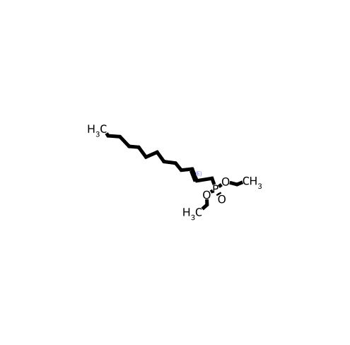 CCCCCCCCCC/C=C/CP(=O)(OCC)OCC